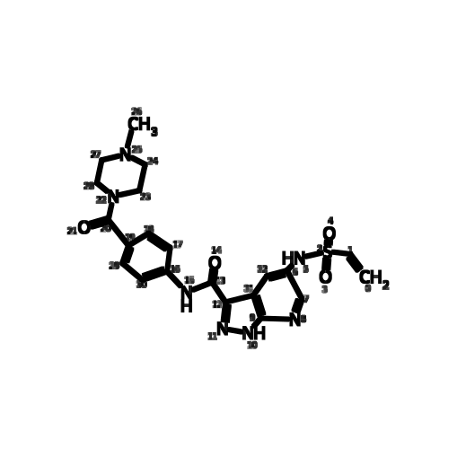 C=CS(=O)(=O)Nc1cnc2[nH]nc(C(=O)Nc3ccc(C(=O)N4CCN(C)CC4)cc3)c2c1